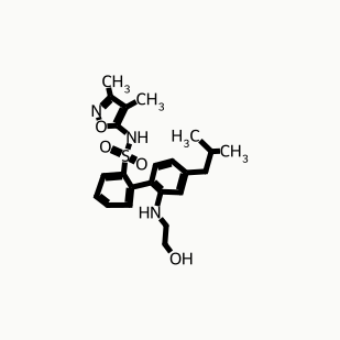 Cc1noc(NS(=O)(=O)c2ccccc2-c2ccc(CC(C)C)cc2NCCO)c1C